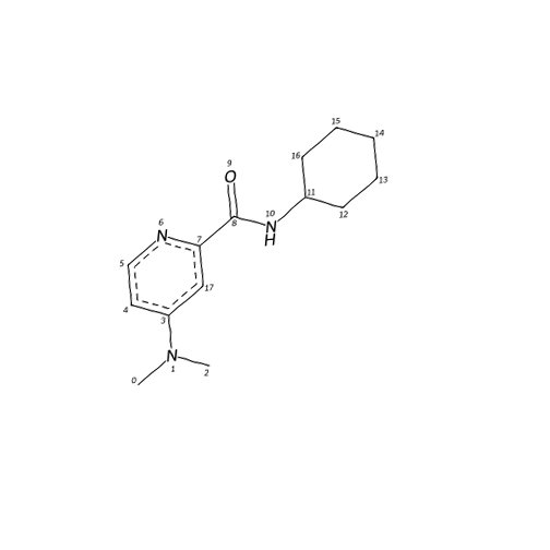 CN(C)c1ccnc(C(=O)NC2CCCCC2)c1